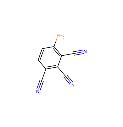 N#Cc1ccc(P)c(C#N)c1C#N